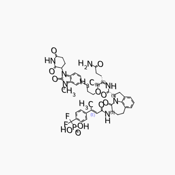 C/C(=C\C(=O)N[C@H]1CCc2cccc3c2N(C1=O)[C@H](C(=O)N[C@@H](CCC(N)=O)[C@@H](C)OCCCc1ccc2c(c1)n(C)c(=O)n2C1CCC(=O)NC1=O)C3)c1ccc(C(F)(F)P(=O)(O)O)cc1